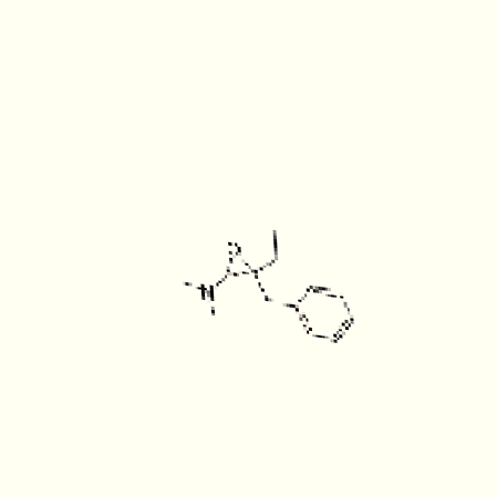 CCC1(Cc2ccccc2)OC1N(C)C